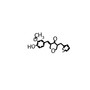 COc1cc(/C=C2\COCC(Cc3cccs3)C2=O)ccc1O